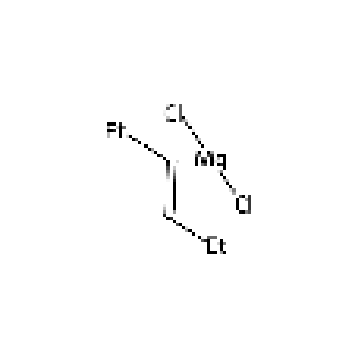 [CH2]CC=CCC.[Cl][Mg][Cl]